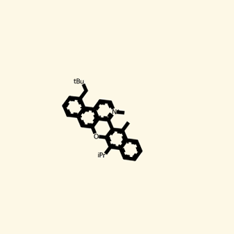 Cc1c2c(c(C(C)C)c3ccccc13)Oc1cc3cccc(CC(C)(C)C)c3c3cc[n+](C)c-2c13